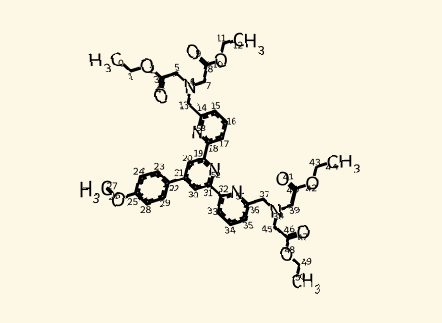 CCOC(=O)CN(CC(=O)OCC)Cc1cccc(-c2cc(-c3ccc(OC)cc3)cc(-c3cccc(CN(CC(=O)OCC)CC(=O)OCC)n3)n2)n1